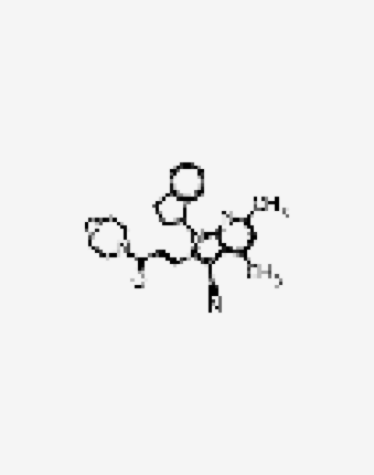 Cc1cc(C)c2c(C#N)c(/C=C/C(=O)N3CCOCC3)n(C3CCc4ccccc43)c2n1